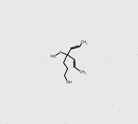 CC=CC(C=CC)(CCCO)SO